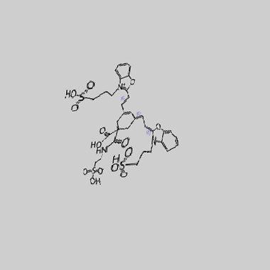 O=C(O)C1(C(=O)NCCS(=O)(=O)O)CC(/C=C/c2oc3ccccc3[n+]2CCCS(=O)(=O)O)=CC(=C/C=C2\Oc3ccccc3N2CCCS(=O)(=O)O)/C1